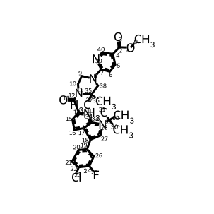 COC(=O)c1ccc(N2CCN(C(=O)c3ccc4c(-c5ccc(Cl)c(F)c5)cn(C(C)(C)C)c4n3)C(C)(C)C2)nc1